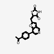 CC(=O)c1ccc(-c2cncc3cc(C=C4SC(=O)NC4=O)oc23)cc1